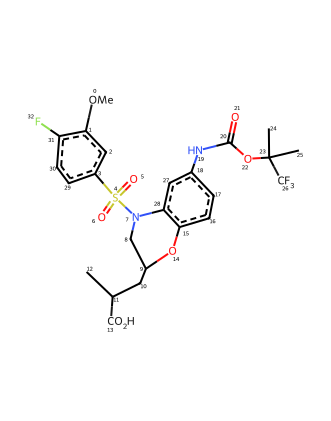 COc1cc(S(=O)(=O)N2CC(CC(C)C(=O)O)Oc3ccc(NC(=O)OC(C)(C)C(F)(F)F)cc32)ccc1F